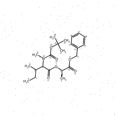 CCC(C)C(C(=O)O[C@H](C)C(=O)OCc1ccccc1)N(C)C(=O)OC(C)(C)C